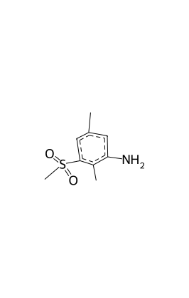 Cc1cc(N)c(C)c(S(C)(=O)=O)c1